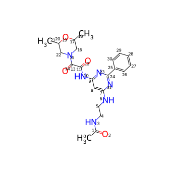 CC(=O)NCCNc1cc(NC(=O)C(=O)N2CC(C)OC(C)C2)nc(-c2ccccc2)n1